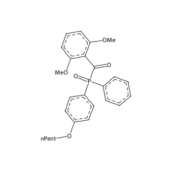 CCCCCOc1ccc(P(=O)(C(=O)c2c(OC)cccc2OC)c2ccccc2)cc1